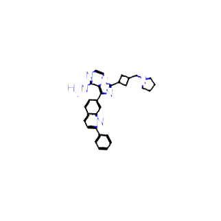 Nc1nccn2c(C3CC(CN4CCCC4)C3)nc(-c3ccc4ccc(-c5ccccc5)nc4c3)c12